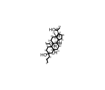 CCC[C@@]1(O)CC[C@@]2(CC)[C@H](CC[C@H]3[C@@H]4CC[C@H](C(C)O)[C@@]4(C)CC[C@@H]32)C1